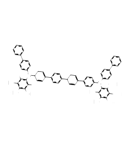 Oc1c(O)c(O)c(N(c2ccc(C3=CCC(c4ccc(C5=CCC(N(c6ccc(-c7ccccc7)cc6)c6c(O)c(O)c(O)c(O)c6O)C=C5)cc4)C=C3)cc2)c2ccc(-c3ccccc3)cc2)c(O)c1O